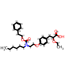 CCCCCCN(CCOc1ccc(CC(OCC)C(=O)O)cc1)C(=O)OCCc1ccccc1